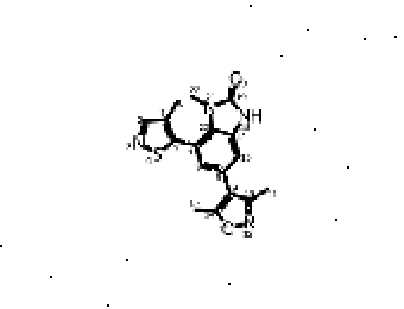 Cc1cnsc1-c1cc(-c2c(C)noc2C)cc2[nH]c(=O)n(C)c12